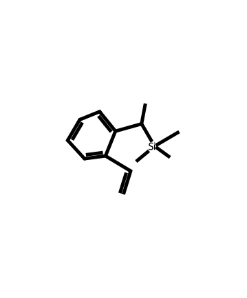 C=Cc1ccccc1C(C)[Si](C)(C)C